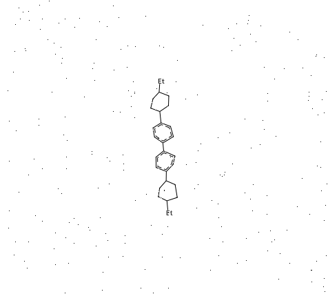 CCC1CCC(c2ccc(-c3ccc(C4CCC(CC)CC4)cc3)cc2)CC1